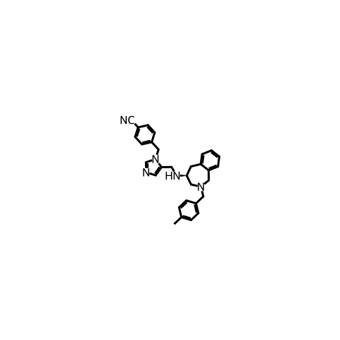 Cc1ccc(CN2Cc3ccccc3C[C@H](NCc3cncn3Cc3ccc(C#N)cc3)C2)cc1